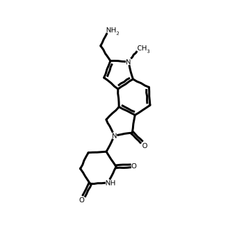 Cn1c(CN)cc2c3c(ccc21)C(=O)N(C1CCC(=O)NC1=O)C3